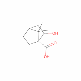 CC1(C)C2CC[C@]1(C(=O)O)C(O)C2